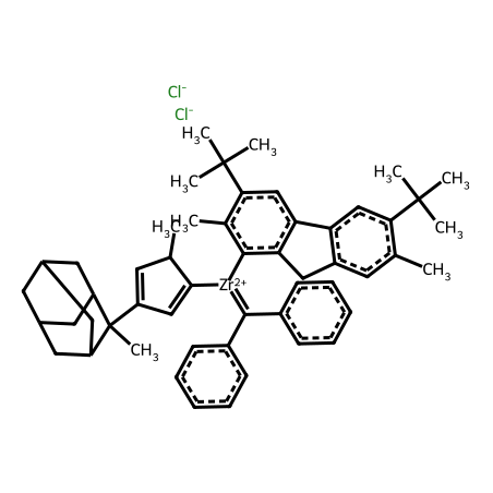 Cc1cc2c(cc1C(C)(C)C)-c1cc(C(C)(C)C)c(C)[c]([Zr+2]([C]3=CC(C4(C)C5CC6CC(C5)CC4C6)=CC3C)=[C](c3ccccc3)c3ccccc3)c1C2.[Cl-].[Cl-]